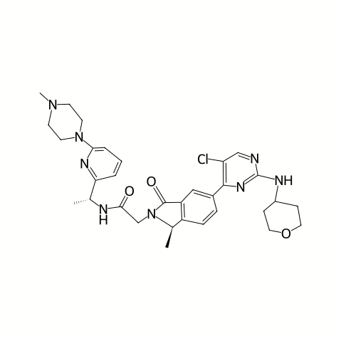 C[C@@H]1c2ccc(-c3nc(NC4CCOCC4)ncc3Cl)cc2C(=O)N1CC(=O)N[C@H](C)c1cccc(N2CCN(C)CC2)n1